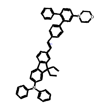 CCC1(CC)c2cc(/C=C/c3ccc(-c4cc(N5CCOCC5)ccc4-c4ccccc4)cc3)ccc2-c2ccc(N(c3ccccc3)c3ccccc3)cc21